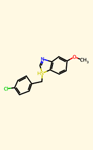 COc1ccc2c(c1)N=C[SH]2Cc1ccc(Cl)cc1